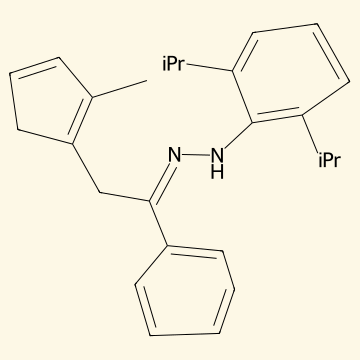 CC1=C(CC(=NNc2c(C(C)C)cccc2C(C)C)c2ccccc2)CC=C1